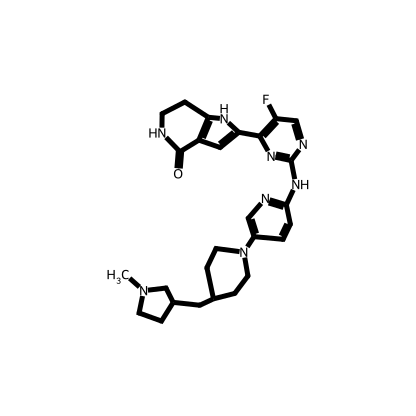 CN1CCC(CC2CCN(c3ccc(Nc4ncc(F)c(-c5cc6c([nH]5)CCNC6=O)n4)nc3)CC2)C1